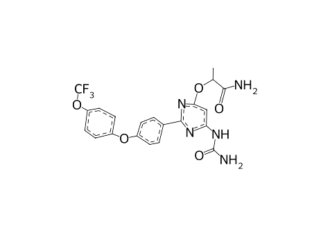 CC(Oc1cc(NC(N)=O)nc(-c2ccc(Oc3ccc(OC(F)(F)F)cc3)cc2)n1)C(N)=O